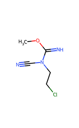 COC(=N)N(C#N)CCCl